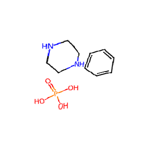 C1CNCCN1.O=P(O)(O)O.c1ccccc1